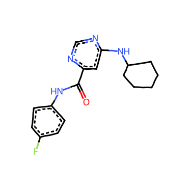 O=C(Nc1ccc(F)cc1)c1cc(NC2CCCCC2)ncn1